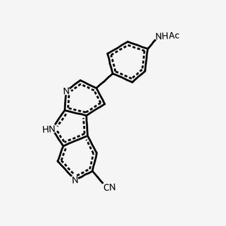 CC(=O)Nc1ccc(-c2cnc3[nH]c4cnc(C#N)cc4c3c2)cc1